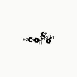 COC(=O)c1ccccc1Oc1nc(Nc2ccc(N3CCC(O)CC3)cc2)nc2ccn(C)c12